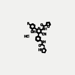 Cl.N#Cc1c(-c2cccc(NC(=O)C[C@H]3CCCN3)c2)cc(-c2ccc(F)cc2O)nc1NC(=O)c1ccco1